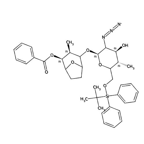 C[C@@H]1C(CO[Si](c2ccccc2)(c2ccccc2)C(C)(C)C)O[C@@H](OC2C3CCC(O3)[C@@H](OC(=O)c3ccccc3)[C@H]2C)C(N=[N+]=[N-])[C@H]1O